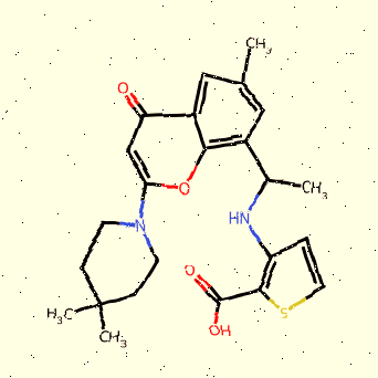 Cc1cc(C(C)Nc2ccsc2C(=O)O)c2oc(N3CCC(C)(C)CC3)cc(=O)c2c1